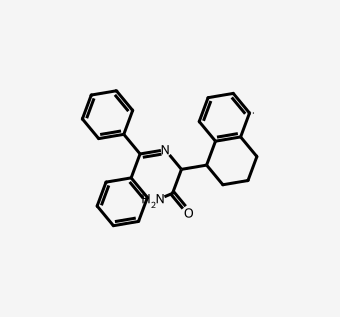 NC(=O)C(N=C(c1ccccc1)c1ccccc1)C1CCCc2[c]cccc21